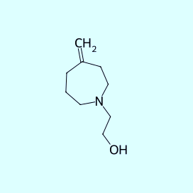 C=C1CCCN(CCO)CC1